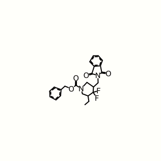 CCC1CN(C(=O)OCc2ccccc2)CC(CN2C(=O)c3ccccc3C2=O)C1(F)F